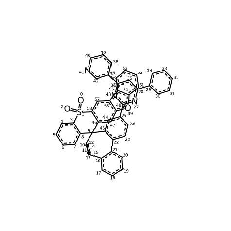 O=S1(=O)c2ccccc2C2(c3ccccc3-c3ccccc3-c3ccc(-c4nc(-c5ccccc5)cc(-c5cccnc5)n4)cc32)c2cc3oc4ccccc4c3cc21